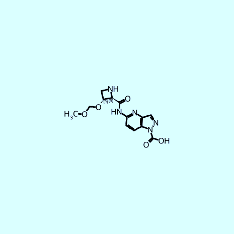 COCO[C@@H]1CN[C@H]1C(=O)Nc1ccc2c(cnn2C(=O)O)n1